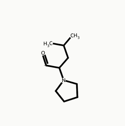 CC(C)CC([C]=O)N1CCCC1